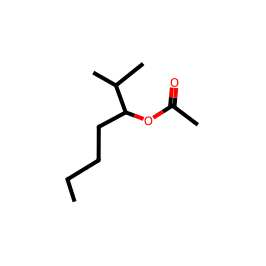 CCCCC(OC(C)=O)C(C)C